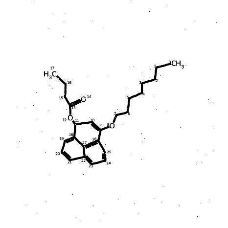 CCCCCCCCOC1=CC(OC(=O)CCC)c2cccc3cccc1c23